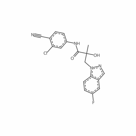 CC(O)(Cn1ncc2cc(F)ccc21)C(=O)Nc1ccc(C#N)c(Cl)c1